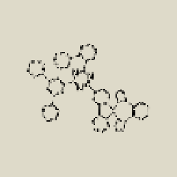 c1ccc(-c2cc(-c3ccccc3)cc(-c3nc(-c4ccc5c(c4)-c4ccccc4C54c5ccccc5-c5ccccc5-c5ccccc54)nc(-c4ccccc4-c4ccccc4)n3)c2)cc1